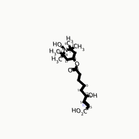 CC1(C)CC(OC(=O)CCCCC(O)/C=C/C(=O)O)CC(C)(C)N1O